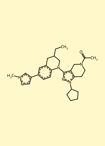 CCC1Cc2cc(-c3cnn(C)c3)ccc2N(c2nn(C3CCCC3)c3c2CN(C(C)=O)CC3)C1